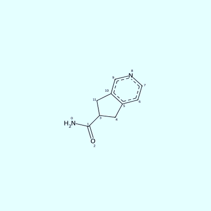 NC(=O)C1Cc2ccncc2C1